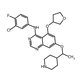 CC(Oc1cc(OC2CCOC2)c2c(Nc3ccc(F)c(Cl)c3)ncnc2c1)C1CCNCC1